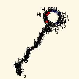 CO[C@H]1C[C@@H]2CC[C@@H](C)[C@@](O)(O2)C(=O)C(=O)N2CCCC[C@H]2C(=O)O[C@H]([C@H](N)C[C@@H]2CC[C@@H](OC(=O)NCc3cnc(N4CCN(c5cnc(C(=O)NCCOCCC(=O)N6CCN(c7ncc(C(=O)NCCCCn8nc(-c9ccc%10oc(N)nc%10c9)c9c(N)ncnc98)cn7)CC6)nc5)CC4)nc3)[C@H](OC)C2)CC(=O)[C@H](C)/C=C(\C)[C@@H](O)[C@@H](O)C(=O)[C@H](C)C[C@H](C)/C=C/C=C/C=C/1C